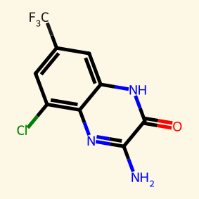 Nc1nc2c(Cl)cc(C(F)(F)F)cc2[nH]c1=O